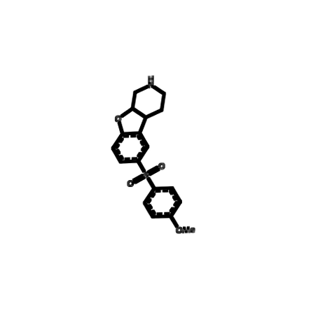 COc1ccc(S(=O)(=O)c2ccc3c(c2)C2CCNCC2O3)cc1